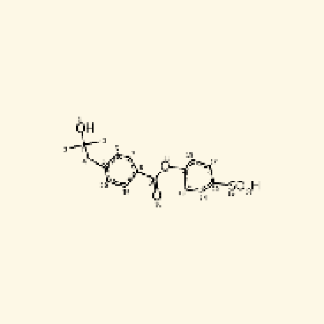 CC(C)(O)Cc1ccc(C(=O)Oc2ccc(S(=O)(=O)O)cc2)cc1